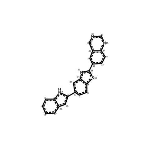 c1ccc2[nH]c(-c3ccc4sc(-c5ccc6ncncc6c5)nc4c3)cc2c1